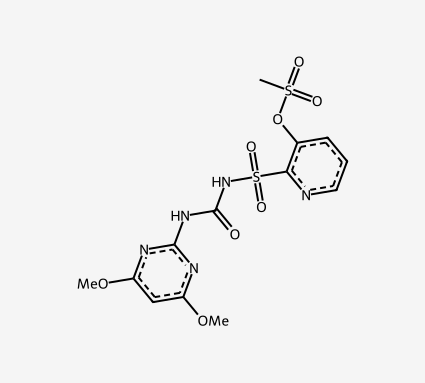 COc1cc(OC)nc(NC(=O)NS(=O)(=O)c2ncccc2OS(C)(=O)=O)n1